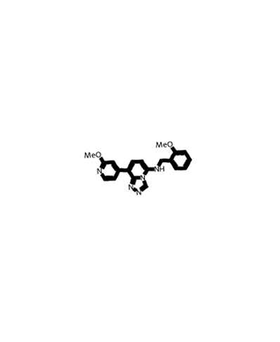 COc1cc(-c2ccc(NCc3ccccc3OC)n3cnnc23)ccn1